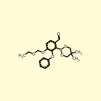 CCOCOc1ccc(C=O)c(B2OCC(C)(C)CO2)c1Oc1ccccc1